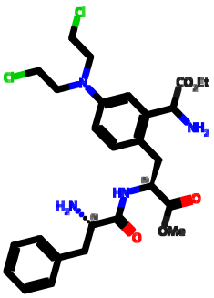 CCOC(=O)C(N)c1cc(N(CCCl)CCCl)ccc1C[C@H](NC(=O)[C@@H](N)Cc1ccccc1)C(=O)OC